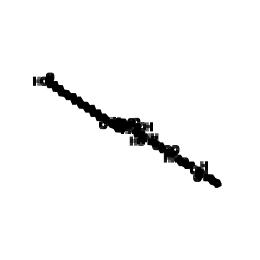 CCCCCNC(=O)COCCOCCNC(=O)COCCOCCNC(O)CCC(NC(=O)C1CCC(CNC(=O)CCCCCCCCCCCCCCCCCCC(=O)O)CC1)C(=O)O